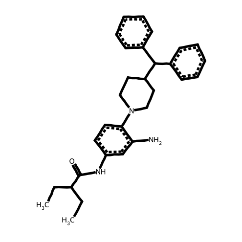 CCC(CC)C(=O)Nc1ccc(N2CCC(C(c3ccccc3)c3ccccc3)CC2)c(N)c1